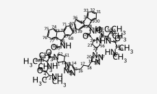 CN[C@@H](C)C(=O)N[C@H](C(=O)N1C[C@@H](n2cc(CCCc3cn([C@H]4C[C@@H](C(=O)NC5c6ccccc6-c6ccccc65)N(C(=O)[C@@H](NC(=O)[C@H](C)NC)C(C)(C)C)C4)nn3)nn2)C[C@H]1C(=O)NC1c2ccccc2-c2ccccc21)C(C)(C)C